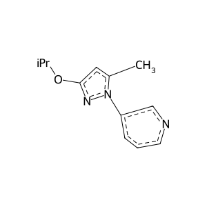 Cc1cc(OC(C)C)nn1-c1cccnc1